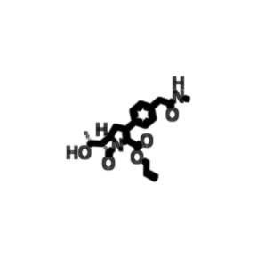 C=CCOC(=O)C1=C(c2ccc(CC(=O)NC)cc2)C[C@@H]2[C@@H]([C@@H](C)O)C(=O)N12